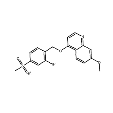 COc1ccc2c(OCc3ccc(S(C)(=N)=O)cc3Br)ccnc2c1